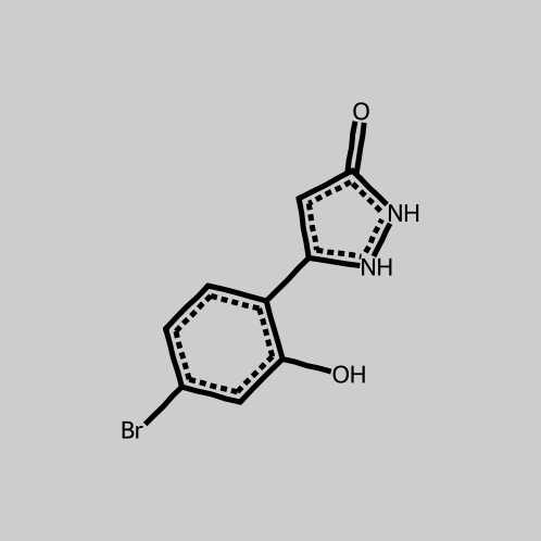 O=c1cc(-c2ccc(Br)cc2O)[nH][nH]1